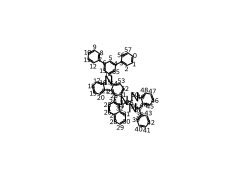 c1ccc(-c2cc(-c3ccccc3)cc(-n3c4ccccc4c4c5c6ccc7ccccc7c6n(-c6nc(-c7ccccc7)c7ccccc7n6)c5ccc43)c2)cc1